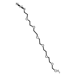 CCOCCOCCOCCOCCOCCOCCN=[N+]=[N-]